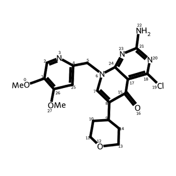 COc1cnc(Cn2cc(C3CCOCC3)c(=O)c3c(Cl)nc(N)nc32)cc1OC